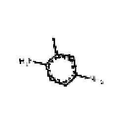 Cc1cc(N)ccc1P